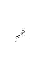 CCS(=O)(=O)c1c2ccc(NC)cc2nn1-c1cc2cnn(CC(F)(F)C(F)(F)F)c2cn1